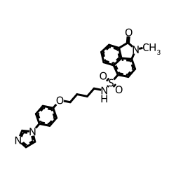 CN1C(=O)c2cccc3c(S(=O)(=O)NCCCCOc4ccc(-n5ccnc5)cc4)ccc1c23